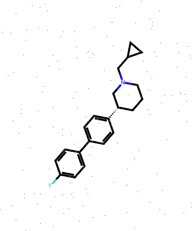 Fc1ccc(-c2ccc([C@H]3CCCN(CC4CC4)C3)cc2)cc1